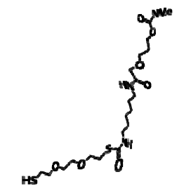 CNC(=O)OCCCOCC(=O)NCCCCCCNC(=O)SCCOCCOCCS